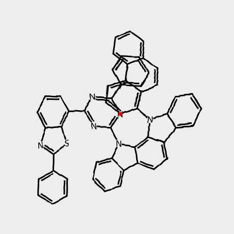 c1ccc(-c2nc(-c3cccc4nc(-c5ccccc5)sc34)nc(-n3c4ccccc4c4ccc5c6ccccc6n(-c6cccc7c6ccc6ccccc67)c5c43)n2)cc1